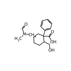 CN(C)C=O.O=C(O)C1(c2ccccc2)CCCCC1CO